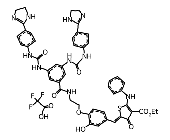 CCOC(=O)C1=C(Nc2ccccc2)S/C(=C\c2ccc(OCCNC(=O)c3cc(NC(=O)Nc4ccc(C5=NCCN5)cc4)cc(NC(=O)Nc4ccc(C5=NCCN5)cc4)c3)c(O)c2)C1=O.O=C(O)C(F)(F)F